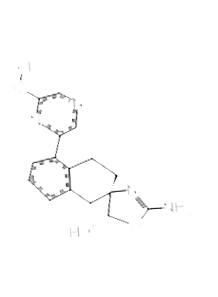 COc1cncc(-c2cccc3c2CC[C@@]2(C3)N=C(N)O[C@@H]2C)n1